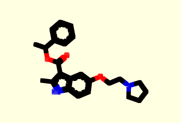 Cc1[nH]c2ccc(OCCN3CCCC3)cc2c1C(=O)OC(C)c1ccccc1